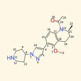 COc1c(-c2cnn(C3CCNCC3)c2)ccc2c1CC[C@H](C)N2C(C)=O